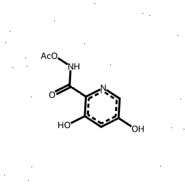 CC(=O)ONC(=O)c1ncc(O)cc1O